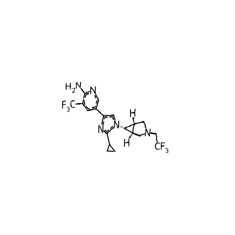 Nc1ncc(-c2cn([C@@H]3[C@@H]4CN(CC(F)(F)F)C[C@@H]43)c(C3CC3)n2)cc1C(F)(F)F